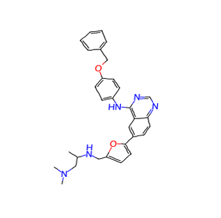 CC(CN(C)C)NCc1ccc(-c2ccc3ncnc(Nc4ccc(OCc5ccccc5)cc4)c3c2)o1